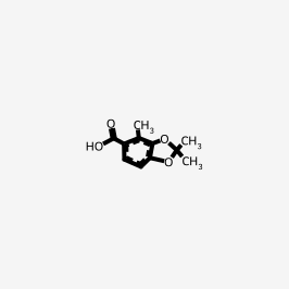 Cc1c(C(=O)O)ccc2c1OC(C)(C)O2